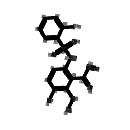 CCOc1c(Br)ccc(NS(=O)(=O)c2ccccc2F)c1C(=O)OC